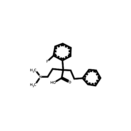 CN(C)CCC(CCc1ccccc1)(C(=O)O)c1ccccc1F